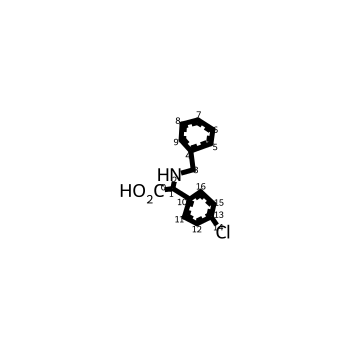 O=C(O)C(NCc1ccccc1)c1ccc(Cl)cc1